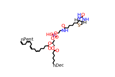 CCCCC/C=C\C/C=C\C/C=C\C/C=C\CCCC(=O)O[C@H](COC(=O)CCCCCCCCCCCCCCC)COP(=O)(O)OCCNC(=O)CCCCC1SC[C@H]2NC(=O)N[C@@H]12